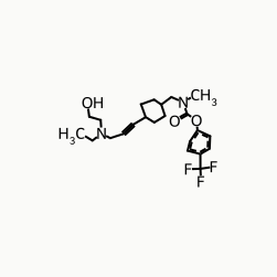 CCN(CC#CC1CCC(CN(C)C(=O)Oc2ccc(C(F)(F)F)cc2)CC1)CCO